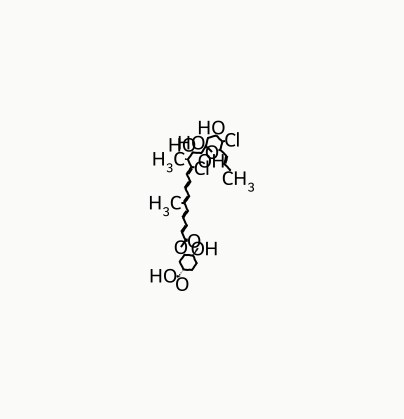 CC/C=C/C1OC(O)([C@@H](O)[C@H](O)[C@H](C)/C(Cl)=C/C=C/C=C(C)/C=C/C=C/C(=O)O[C@@H]2C[C@@H](C(=O)O)CC[C@@H]2O)CC(O)C1Cl